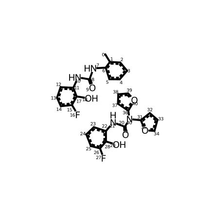 Cc1ccccc1NC(=O)Nc1cccc(F)c1O.O=C(Nc1cccc(F)c1O)N(c1ccco1)c1ccco1